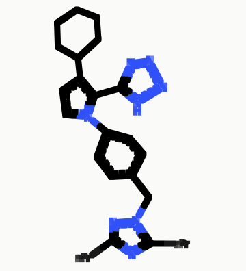 CCCc1nc(CCC)n(Cc2ccc(-n3ccc(C4CCCCC4)c3-c3nnn[nH]3)cc2)n1